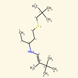 CCC(CCSCC(C)(C)C)N/C=C(\C)C(C)(C)C